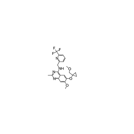 COCC1(Oc2cc3c(NCc4cccc(C(F)(F)F)n4)nc(C)nc3cc2OC)CC1